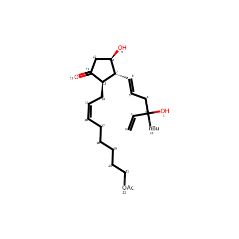 C=CC(O)(C/C=C/[C@H]1[C@H](O)CC(=O)[C@@H]1C/C=C\CCCCCOC(C)=O)CCCC